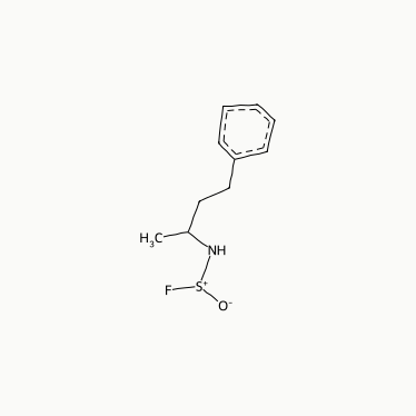 CC(CCc1ccccc1)N[S+]([O-])F